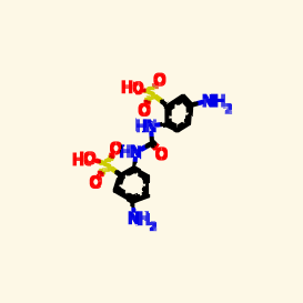 Nc1ccc(NC(=O)Nc2ccc(N)cc2S(=O)(=O)O)c(S(=O)(=O)O)c1